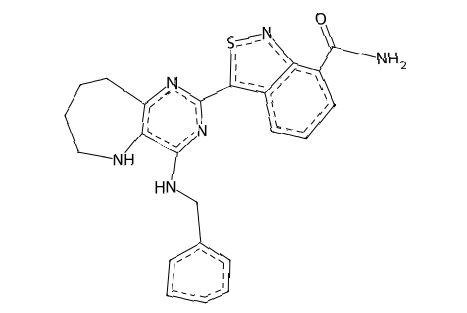 NC(=O)c1cccc2c(-c3nc4c(c(NCc5ccccc5)n3)NCCCC4)snc12